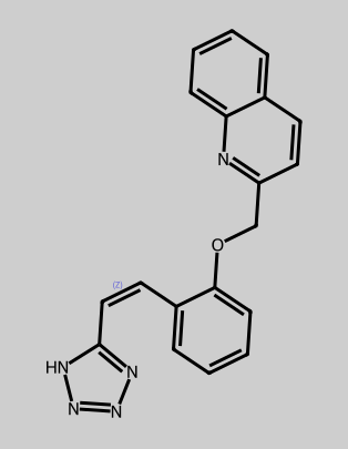 C(=C/c1ccccc1OCc1ccc2ccccc2n1)/c1nnn[nH]1